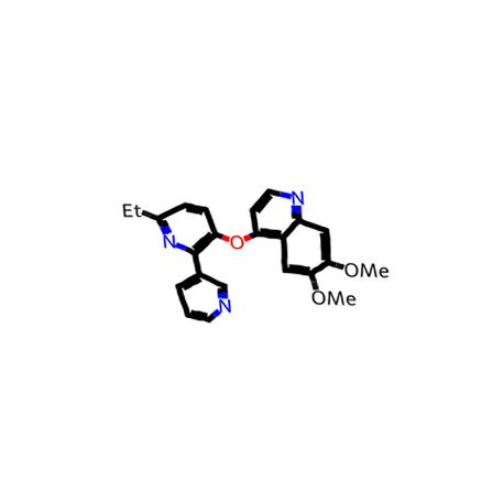 CCc1ccc(Oc2ccnc3cc(OC)c(OC)cc23)c(-c2cccnc2)n1